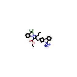 CCCc1nn(-c2ccccc2C(F)(F)F)c(C(=O)OCC)c1Cc1ccc(-c2ccccc2-c2nnn[nH]2)cc1